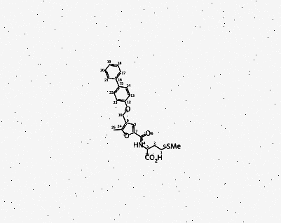 CSCCC(NC(=O)c1cc(COc2ccc(-c3ccccc3)cc2)c(C)o1)C(=O)O